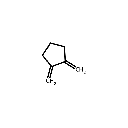 C=C1CCCC1=C